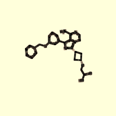 Nc1nccn2c1c(-c1cccc(OCc3ccccc3)c1)nc2[C@H]1C[C@@H](OCC(=O)O)C1